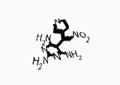 Nc1nc(N)c(C(C[N+](=O)[O-])c2ccncc2)c(N)n1